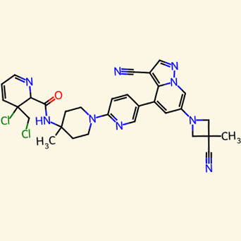 CC1(C#N)CN(c2cc(-c3ccc(N4CCC(C)(NC(=O)C5N=CC=CC5(Cl)CCl)CC4)nc3)c3c(C#N)cnn3c2)C1